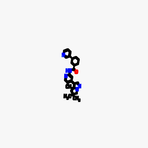 Cc1cnc(NC(=O)[C@H]2CCC[C@@H](c3cccnc3)C2)cc1-c1cnn2c1CC(C)(C)C2